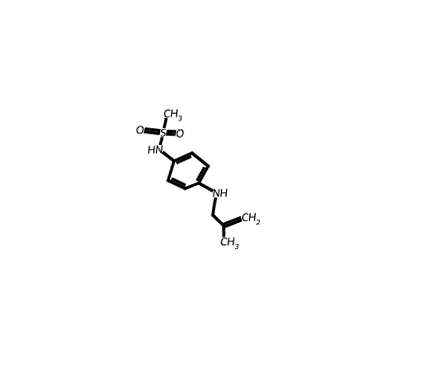 C=C(C)CNc1ccc(NS(C)(=O)=O)cc1